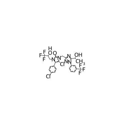 C[C@H](O)c1nc(Cn2c(Cl)c(-c3ccc(Cl)cc3)n(C[C@H](O)C(F)(F)F)c2=O)nn1-c1cccc(C(F)(F)F)c1